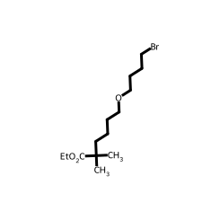 CCOC(=O)C(C)(C)CCCCOCCCCBr